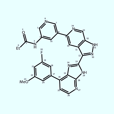 CCC(=O)Nc1cncc(-c2cc3c(-c4nc5c(-c6cc(F)cc(OC)c6)ccnc5[nH]4)n[nH]c3cn2)c1